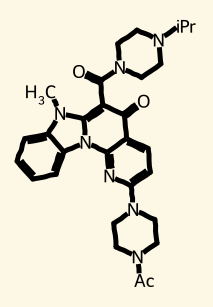 CC(=O)N1CCN(c2ccc3c(=O)c(C(=O)N4CCN(C(C)C)CC4)c4n(C)c5ccccc5n4c3n2)CC1